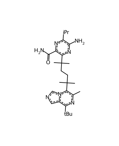 Cc1nc(C(C)(C)C)c2cncn2c1C(C)(C)CCC(C)(C)c1nc(N)c(C(C)C)nc1C(N)=O